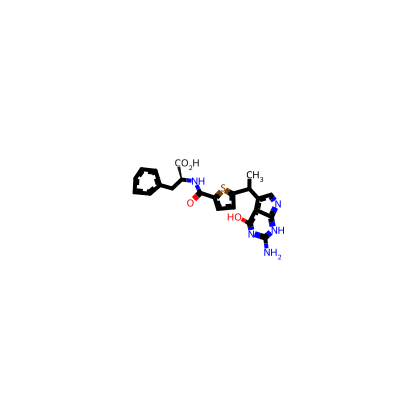 CC(c1ccc(C(=O)N[C@@H](Cc2ccccc2)C(=O)O)s1)c1cnc2[nH]c(N)nc(O)c1-2